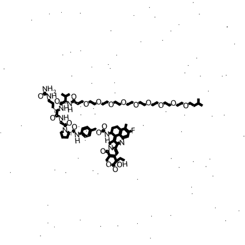 CC[C@@]1(O)C(=O)OCc2c1cc1n(c2=O)Cc2c-1nc1cc(F)c(C)c3c1c2C(NC(=O)OCc1ccc(NC(=O)[C@@H]2CCCN2C(=O)CNC(=O)[C@H](CCCNC(N)=O)NC(=O)[C@@H](NC(=O)CCOCCOCCOCCOCCOCCOCCOCCOCCOCCC(C)C)C(C)C)cc1)CC3